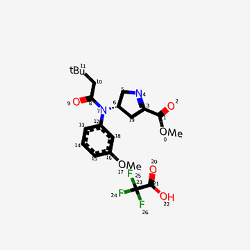 COC(=O)C1=NC[C@@H](N(C(=O)CC(C)(C)C)c2cccc(OC)c2)C1.O=C(O)C(F)(F)F